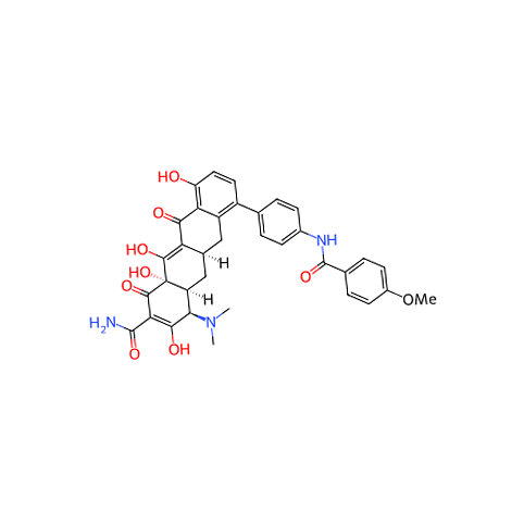 COc1ccc(C(=O)Nc2ccc(-c3ccc(O)c4c3C[C@H]3C[C@H]5[C@@H](N(C)C)C(O)=C(C(N)=O)C(=O)[C@@]5(O)C(O)=C3C4=O)cc2)cc1